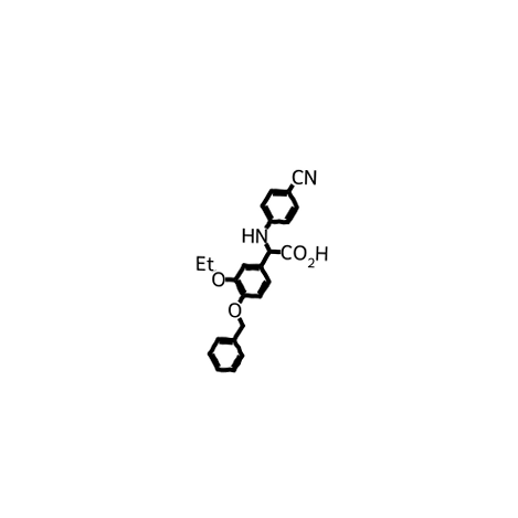 CCOc1cc(C(Nc2ccc(C#N)cc2)C(=O)O)ccc1OCc1ccccc1